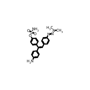 CN(C)N=Nc1ccc(/C=C(/c2ccc(N)cc2)c2ccc(OS(N)(=O)=O)cc2)cc1